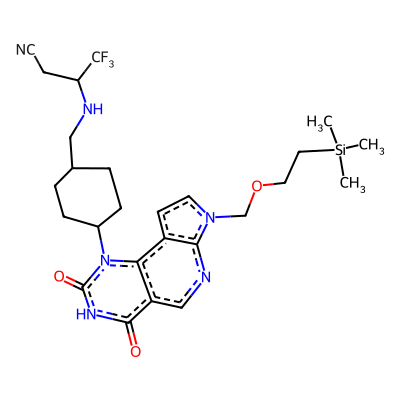 C[Si](C)(C)CCOCn1ccc2c1ncc1c(=O)[nH]c(=O)n(C3CCC(CNC(CC#N)C(F)(F)F)CC3)c12